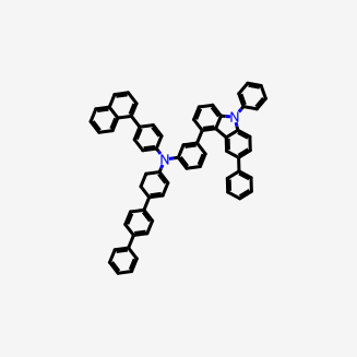 C1=C(c2ccc(-c3ccccc3)cc2)CCC(N(c2ccc(-c3cccc4ccccc34)cc2)c2cccc(-c3cccc4c3c3cc(-c5ccccc5)ccc3n4-c3ccccc3)c2)=C1